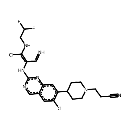 N#CCCN1CCC(c2cc3nc(N/C(C=N)=C(\Cl)NCC(F)F)ncc3cc2Cl)CC1